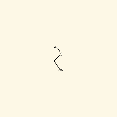 CC(=O)CSC(C)=O